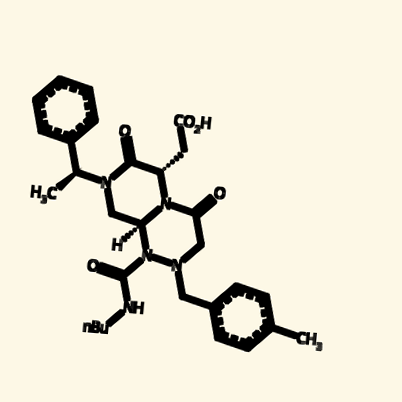 CCCCNC(=O)N1[C@H]2CN([C@@H](C)c3ccccc3)C(=O)[C@H](CC(=O)O)N2C(=O)CN1Cc1ccc(C)cc1